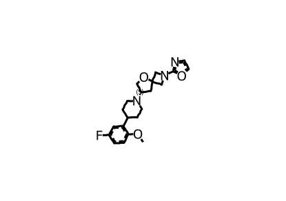 COc1ccc(F)cc1C1CCN([C@@H]2COC3(C2)CN(c2ncco2)C3)CC1